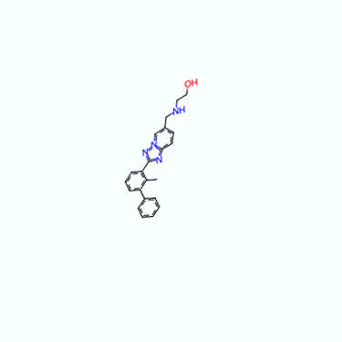 Cc1c(-c2ccccc2)cccc1-c1nc2ccc(CNCCO)cn2n1